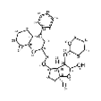 OC1O[C@H]2CCC(OCC(COc3ccccc3)OC3CCCCO3)[C@H]2C1OC1CCCCO1